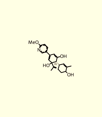 C=C(C)C1(O)C=C(c2ccc(OC)nc2)C=C(O)[C@@H]1C1C=C(C)C(O)CC1